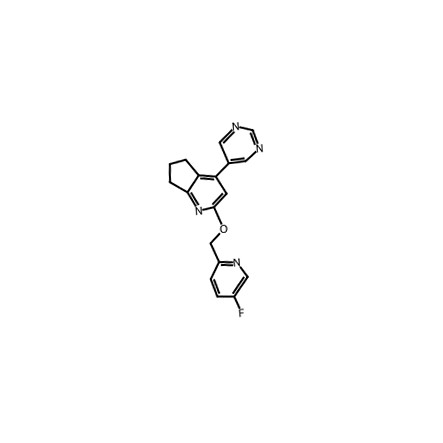 Fc1ccc(COc2cc(-c3cncnc3)c3c(n2)CCC3)nc1